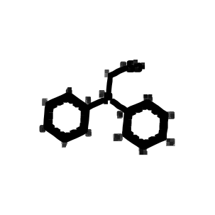 [Sb][CH2]P(c1ccccc1)c1ccccc1